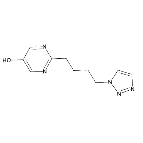 Oc1cnc(CCCCn2ccnn2)nc1